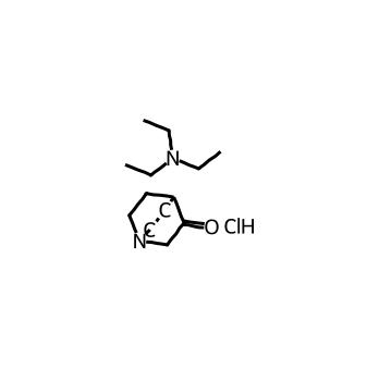 CCN(CC)CC.Cl.O=C1CN2CCC1CC2